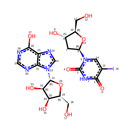 O=c1[nH]c(=O)n([C@H]2C[C@H](O)[C@@H](CO)O2)cc1I.OC[C@H]1O[C@@H](n2cnc3c(O)ncnc32)[C@H](O)[C@@H]1O